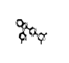 Cc1ccc(-n2c(-c3cnc(N4CC(C)OC(C)C4)nc3)nc3ccncc32)cn1